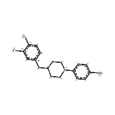 Oc1ccc(N2CCC(Cc3ccc(Cl)c(Cl)c3)CC2)cc1